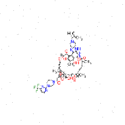 C/C1=C/C=C/C(C)[C@H](O)CC(O)[C@@H](C)[C@H](OC(=O)CC(=O)N2CCCN(c3nccc(C(F)(F)F)n3)CC2)[C@H](C)C/C=C/O[C@H]2Oc3c(C)c(O)c4c(c3C2=O)C2=NC3(CCN(CC(C)C)CC3)NC2=C(NC1=O)C4=O